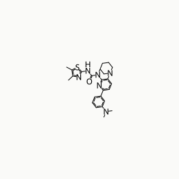 Cc1nc(NC(=O)N2c3nc(-c4cccc(N(C)C)c4)ccc3N3CCCC2C3)sc1C